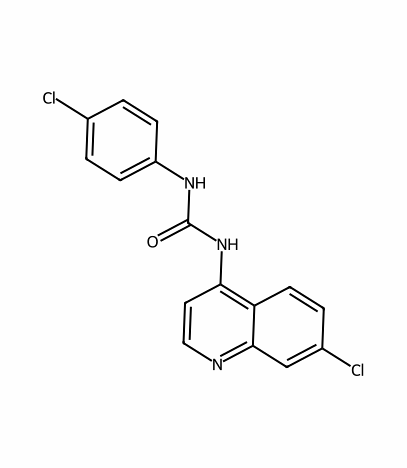 O=C(Nc1ccc(Cl)cc1)Nc1ccnc2cc(Cl)ccc12